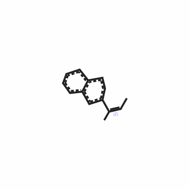 C/C=C(/C)c1ccc2ccccc2c1